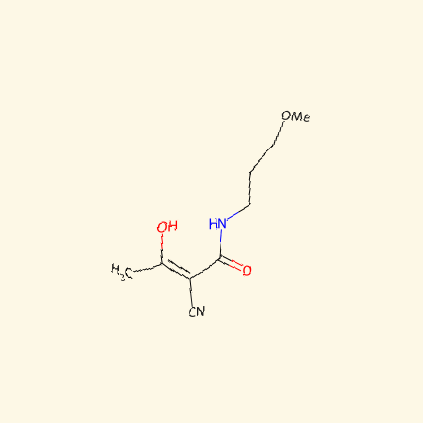 COCCCNC(=O)C(C#N)=C(C)O